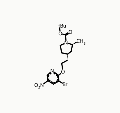 C[C@H]1C[C@H](CCOc2ncc([N+](=O)[O-])cc2Br)CCN1C(=O)OC(C)(C)C